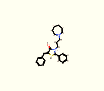 O=C1C(=Cc2ccccc2)SC(c2ccccc2)N1CCCN1CCCCCC1